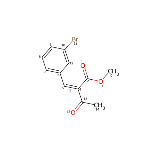 COC(=O)/C(=C\c1cccc(Br)c1)C(C)=O